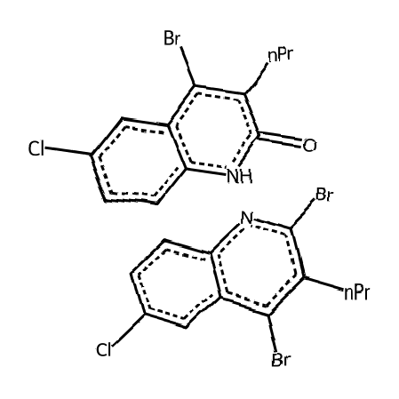 CCCc1c(Br)c2cc(Cl)ccc2[nH]c1=O.CCCc1c(Br)nc2ccc(Cl)cc2c1Br